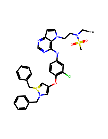 CC(C)(C)CN(CCn1ccc2ncnc(Nc3ccc(OC4=CN(Cc5ccccc5)S(Cc5ccccc5)=C4)c(Cl)c3)c21)S(C)(=O)=O